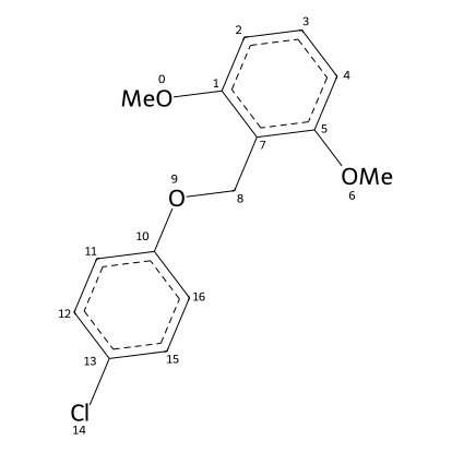 COc1cccc(OC)c1COc1ccc(Cl)cc1